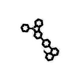 Ic1cccc2cccc(-c3ccc(-c4ccc5c(c4)c4ccccc4n5-c4ccccc4)cc3)c12